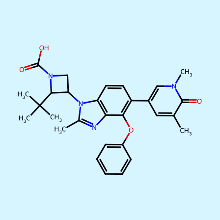 Cc1cc(-c2ccc3c(nc(C)n3C3CN(C(=O)O)C3C(C)(C)C)c2Oc2ccccc2)cn(C)c1=O